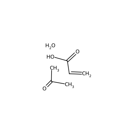 C=CC(=O)O.CC(C)=O.O